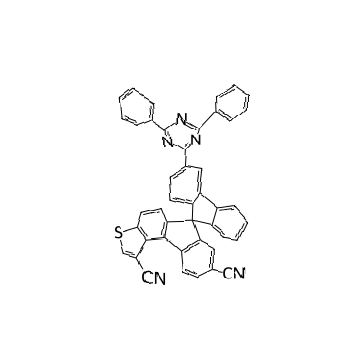 N#Cc1ccc2c(c1)C1(c3ccccc3-c3cc(-c4nc(-c5ccccc5)nc(-c5ccccc5)n4)ccc31)c1ccc3scc(C#N)c3c1-2